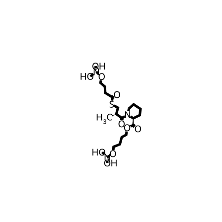 C[C@H](CSC(=O)CCCON(O)O)C(=O)N1CCCC[C@H]1C(=O)OCCCCON(O)O